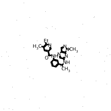 CCc1ncc(C(=O)Nc2cccc([C@H](C)Nc3cnc4cnn(C)c4n3)c2)cc1C